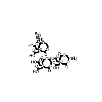 N.N.N.O=C(O)C[N+]1(CC(=O)O)CC(=O)OCCOC(=O)C1.O=C(O)C[N+]1(CC(=O)O)CC(=O)OCCOC(=O)C1.O=C(O)C[N+]1(CC(=O)O)CC(=O)OCCOC(=O)C1.[KH].[KH].[KH]